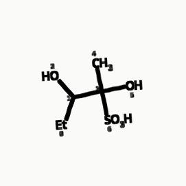 CCC(O)C(C)(O)S(=O)(=O)O